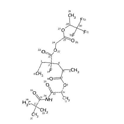 CCC(F)(CC(C)C(=O)OC(C)C(=O)NC(=O)C(C)(C)C)C(=O)OCC(=O)OC(C)C(F)(F)F